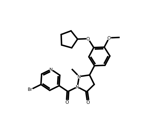 COc1ccc(C2CC(=O)N(C(=O)c3cncc(Br)c3)N2C)cc1OC1CCCC1